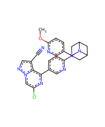 COc1ccc(CN2C3CC2CN(c2ccc(-c4nc(Cl)cn5ncc(C#N)c45)cn2)C3)cn1